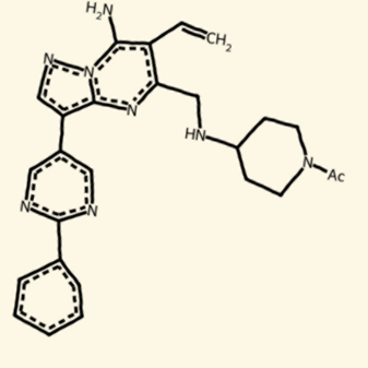 C=Cc1c(CNC2CCN(C(C)=O)CC2)nc2c(-c3cnc(-c4ccccc4)nc3)cnn2c1N